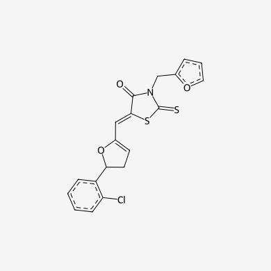 O=C1/C(=C/C2=CCC(c3ccccc3Cl)O2)SC(=S)N1Cc1ccco1